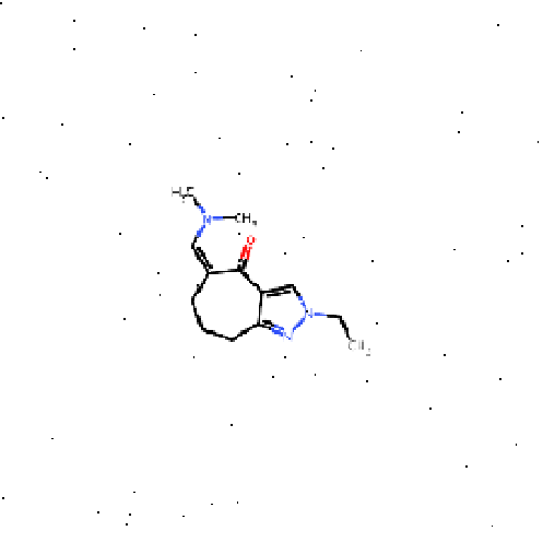 CCn1cc2c(n1)CCC/C(=C/N(C)C)C2=O